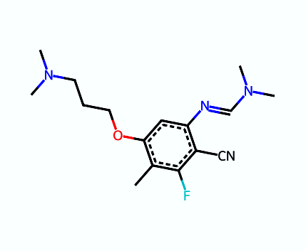 Cc1c(OCCCN(C)C)cc(/N=C/N(C)C)c(C#N)c1F